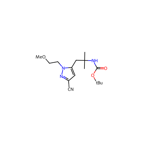 COCCn1nc(C#N)cc1CC(C)(C)NC(=O)OC(C)(C)C